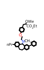 CCCc1ccc2c(c1)CCc1ccc(-c3ccccc3)cc1C2N(C)CCOc1ccc(CC(OC)C(=O)OCC)cc1